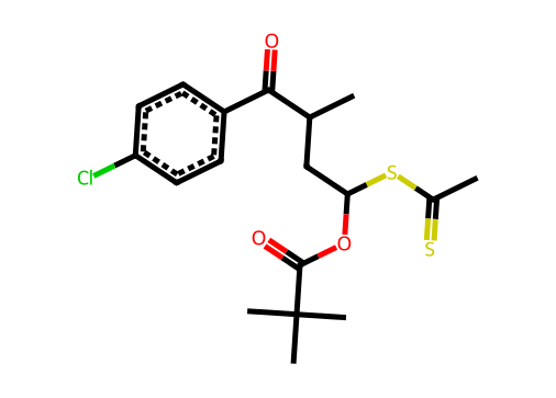 CC(=S)SC(CC(C)C(=O)c1ccc(Cl)cc1)OC(=O)C(C)(C)C